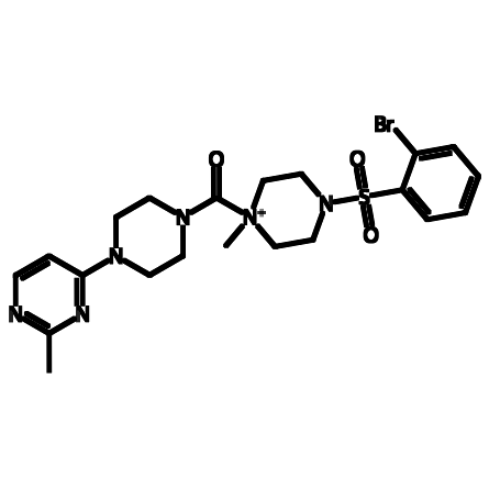 Cc1nccc(N2CCN(C(=O)[N+]3(C)CCN(S(=O)(=O)c4ccccc4Br)CC3)CC2)n1